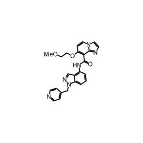 COCCOc1ccn2ccnc2c1C(=O)Nc1cccc2c1cnn2Cc1ccncc1